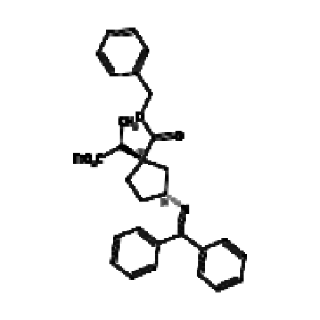 CCOC(=O)C(C)[C@]1(C(=O)OCc2ccccc2)CC[C@@H](N=C(c2ccccc2)c2ccccc2)C1